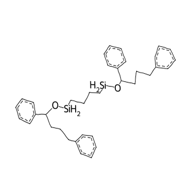 c1ccc(CCCC(O[SiH2]CCCC[SiH2]OC(CCCc2ccccc2)c2ccccc2)c2ccccc2)cc1